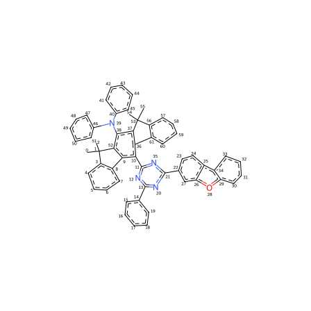 CC1(C)c2ccccc2-c2c(-c3nc(-c4ccccc4)nc(-c4ccc5c(c4)oc4ccccc45)n3)c3c(c(N(c4ccccc4)c4ccccc4)c21)C(C)(C)c1ccccc1-3